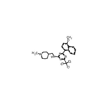 COc1ccc(-c2nc(NCC3CCN(C)CC3)nc(C(Cl)(Cl)Cl)n2)c2ccccc12